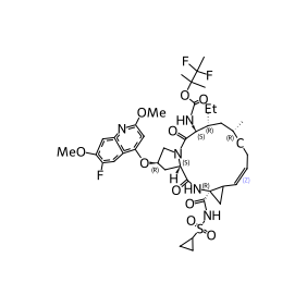 CC[C@@H]1C[C@H](C)CC/C=C\C2C[C@@]2(C(=O)NS(=O)(=O)C2CC2)NC(=O)[C@@H]2C[C@@H](Oc3cc(OC)nc4cc(OC)c(F)cc34)CN2C(=O)[C@H]1NC(=O)OC(C)(C)C(C)(F)F